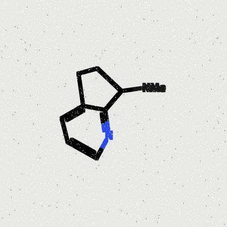 CNC1CCc2cccnc21